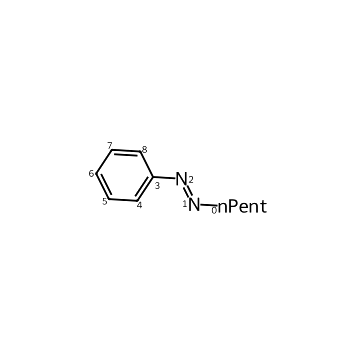 CCCCC/N=N/c1ccccc1